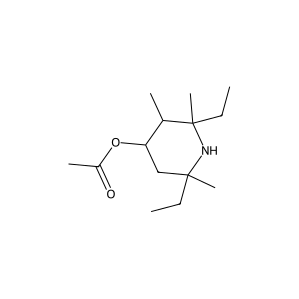 CCC1(C)CC(OC(C)=O)C(C)C(C)(CC)N1